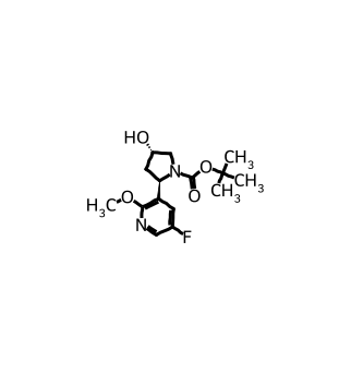 COc1ncc(F)cc1[C@H]1C[C@H](O)CN1C(=O)OC(C)(C)C